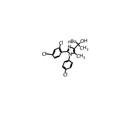 CCCCC(C)(O)c1nc(-c2ccc(Cl)cc2Cl)n(-c2ccc(Cl)cc2)c1C